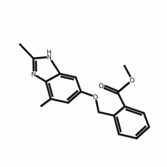 COC(=O)c1ccccc1COc1cc(C)c2nc(C)[nH]c2c1